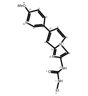 CCNC(=O)Nc1cn2ccc(-c3ccc(OC)nc3)cc2n1